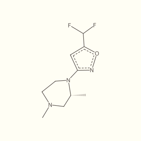 C[C@@H]1CN(C)CCN1c1cc(C(F)F)on1